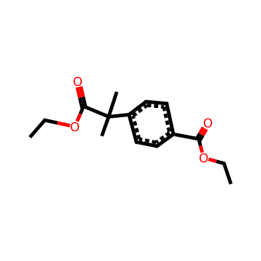 CCOC(=O)c1ccc(C(C)(C)C(=O)OCC)cc1